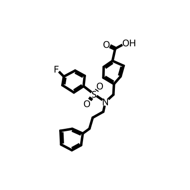 O=C(O)c1ccc(CN(CCCc2ccccc2)S(=O)(=O)c2ccc(F)cc2)cc1